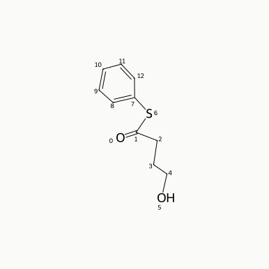 O=C(CCCO)Sc1ccccc1